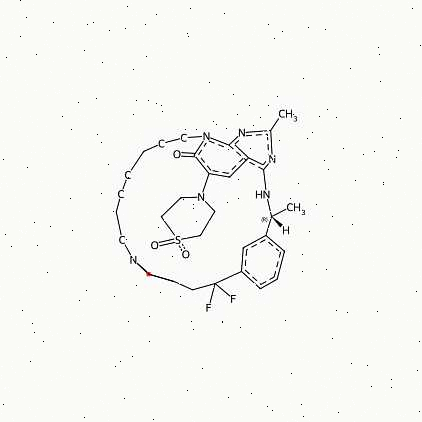 Cc1nc2c3cc(N4CCS(=O)(=O)CC4)c(=O)n(c3n1)CCCCCCCN1CC(C1)CC(F)(F)c1cccc(c1)[C@@H](C)N2